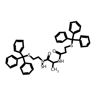 CC(NC(=O)CCSC(c1ccccc1)(c1ccccc1)c1ccccc1)C(=O)N(S)CCSC(c1ccccc1)(c1ccccc1)c1ccccc1